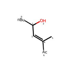 CCCCC(O)C=C(C)C(C)=O